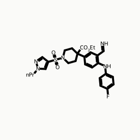 CCCn1cc(S(=O)(=O)N2CCC(C(=O)OCC)(c3ccc(Nc4ccc(F)cc4)c(C=N)c3)CC2)cn1